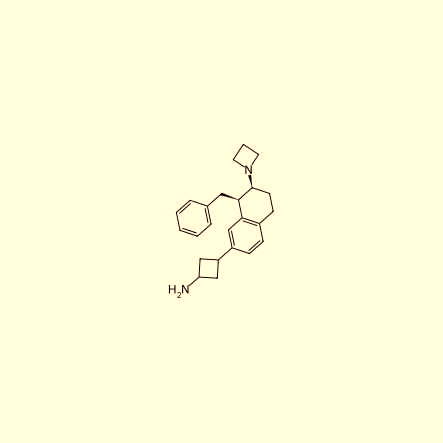 NC1CC(c2ccc3c(c2)[C@@H](Cc2ccccc2)[C@@H](N2CCC2)CC3)C1